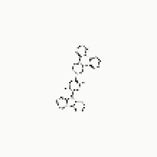 Cc1cc(-n2c3ccccc3c3ccccc32)c(C)cc1-c1ccc2c(c1)c1ccccc1c1nccnc21